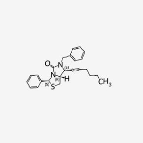 CCCCC#C[C@H]1[C@@H]2CS[C@@H](c3ccccc3)N2C(=O)N1Cc1ccccc1